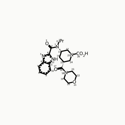 CC(C)N(C(=O)c1nc2ccccc2[nH]1)[C@H]1C[C@@H](C(=O)N2CCOCC2)CN(C(=O)O)C1